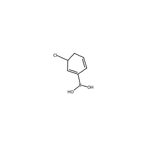 OB(O)C1=CC(Cl)CC=C1